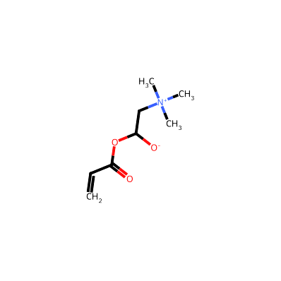 C=CC(=O)OC([O-])C[N+](C)(C)C